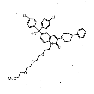 COCCOCCOCCOCCn1c(=O)c(N2CCN(c3ccccc3)CC2)cc2cc(C(O)(c3ccc(Cl)cc3)c3ccc(Cl)cc3)ccc21